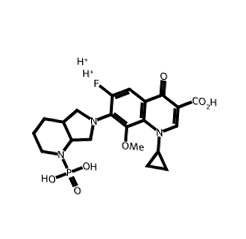 COc1c(N2CC3CCCN(P(=O)(O)O)C3C2)c(F)cc2c(=O)c(C(=O)O)cn(C3CC3)c12.[H+].[H+]